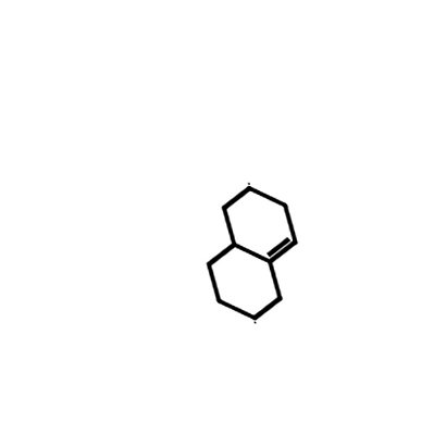 [CH]1CCC2C[CH]CC=C2C1